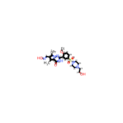 CCCc1c(C=NO)c(C)c2c(=O)[nH]c(-c3cc(S(=O)(=O)N4CCN(CCO)CC4)ccc3OCC)nn12